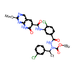 CCC(c1cccc(Cl)c1)N(NC(=O)c1ccc(Cl)c(NC(=O)c2cc3cnc(OC)nc3[nH]c2=O)c1)C(=O)OC(C)(C)C